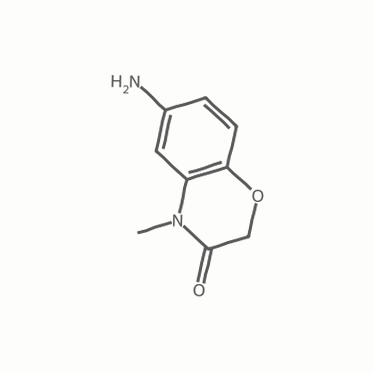 CN1C(=O)COc2ccc(N)cc21